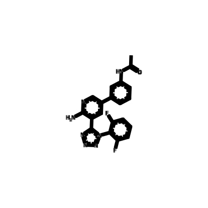 CC(=O)Nc1cccc(-c2cnc(N)c(-c3nnnn3-c3c(F)cccc3F)c2)c1